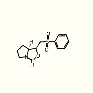 O=S(=O)(C[C@H]1OPN2CCC[C@@H]12)c1ccccc1